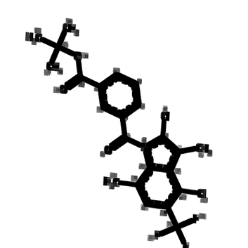 Cc1c(Cl)n(C(=O)c2cccc(C(=O)OC(C)(C)C)c2)c2c(C)cc(C(F)(F)F)c(Cl)c12